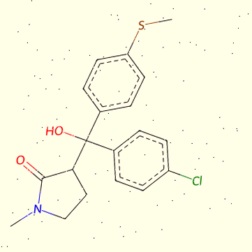 CSc1ccc(C(O)(c2ccc(Cl)cc2)C2CCN(C)C2=O)cc1